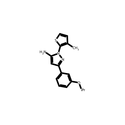 Cc1ccsc1-n1nc(-c2cccc(OC(C)C)c2)cc1N